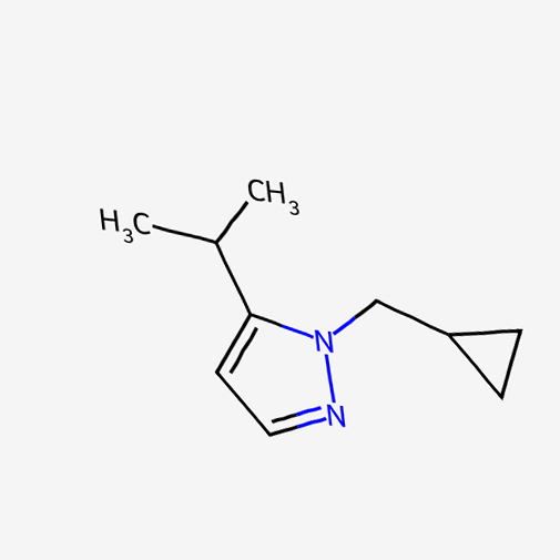 CC(C)c1ccnn1CC1CC1